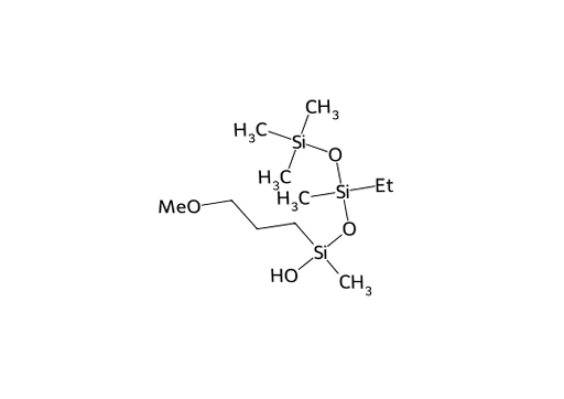 CC[Si](C)(O[Si](C)(C)C)O[Si](C)(O)CCCOC